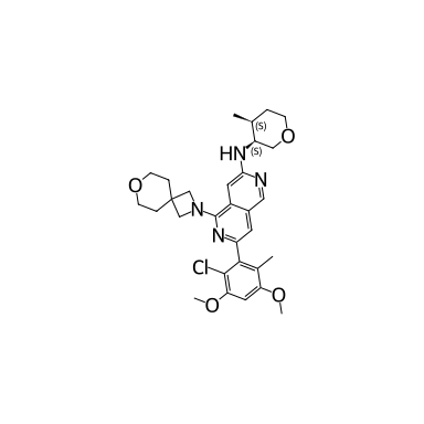 COc1cc(OC)c(Cl)c(-c2cc3cnc(N[C@@H]4COCC[C@@H]4C)cc3c(N3CC4(CCOCC4)C3)n2)c1C